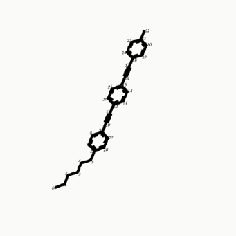 CCCCCCc1ccc(C#Cc2ccc(C#Cc3ccc(C)cc3)cc2)cc1